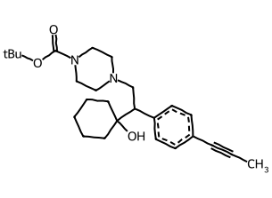 CC#Cc1ccc(C(CN2CCN(C(=O)OC(C)(C)C)CC2)C2(O)CCCCC2)cc1